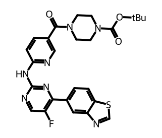 CC(C)(C)OC(=O)N1CCN(C(=O)c2ccc(Nc3ncc(F)c(-c4ccc5scnc5c4)n3)nc2)CC1